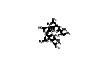 CC[C@H](C)[C@H](N)C(=O)N[C@@H](CC(C)C)C(=O)N[C@@H](CC(=O)O)C(=O)N[C@@H](CC(N)=O)C(=O)N[C@@H](CC(C)C)C(=O)O